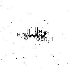 CC(C)C[C@H](NC(=O)[C@@H](N)CCCNC(N)=O)C(=O)O